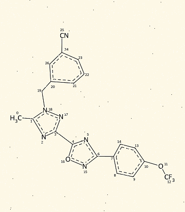 Cc1nc(-c2nc(-c3ccc(OC(F)(F)F)cc3)no2)nn1Cc1cccc(C#N)c1